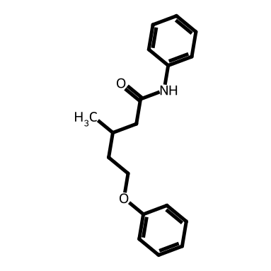 CC(CCOc1ccccc1)CC(=O)Nc1ccccc1